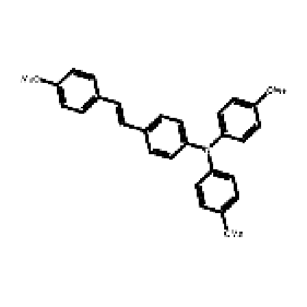 COc1ccc(/C=C/c2ccc(N(c3ccc(OC)cc3)c3ccc(OC)cc3)cc2)cc1